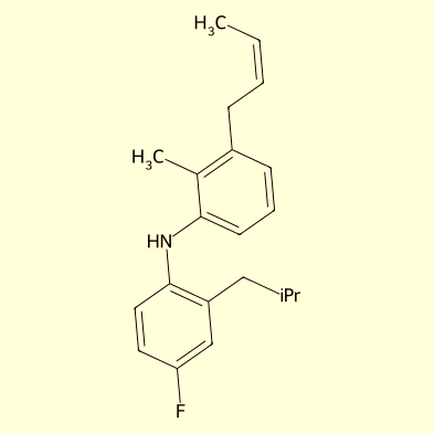 C/C=C\Cc1cccc(Nc2ccc(F)cc2CC(C)C)c1C